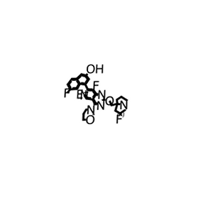 CCc1c(F)ccc2cc(O)cc(-c3ncc4c(N5CCCOC5)nc(OCC56CCCN5C[C@H](F)C6)nc4c3F)c12